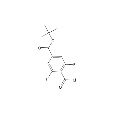 CC(C)(C)OC(=O)c1cc(F)c(C(=O)Cl)c(F)c1